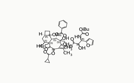 CC(=O)O[C@@]12CC[C@@H]1C[C@H](O)[C@@]1(C)C(=O)[C@H](OC(=O)C3CC3)C3=C(C)[C@@H](OC(=O)[C@H](O)[C@@H](NC(=O)OCC(C)C)c4ccco4)C[C@@](O)([C@@H](OC(=O)c4ccccc4)C12)C3(C)C